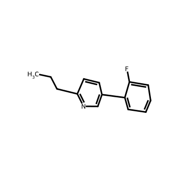 CCCc1ccc(-c2ccccc2F)cn1